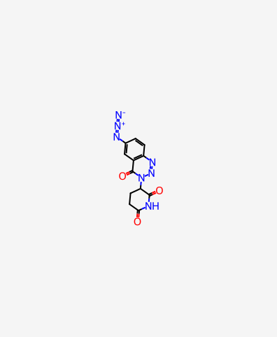 [N-]=[N+]=Nc1ccc2nnn(C3CCC(=O)NC3=O)c(=O)c2c1